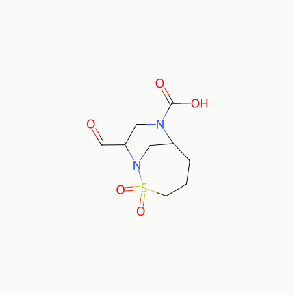 O=CC1CN(C(=O)O)C2CCCS(=O)(=O)N1C2